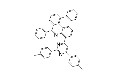 Cc1ccc(-c2cc(-c3cccc4c3nc(-c3ccccc3)c3cccc(-c5ccccc5)c34)nc(-c3ccc(C)cc3)n2)cc1